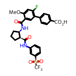 COc1cc(F)c(-c2ccc(C(=O)O)cc2)cc1C(=O)N[C@@H]1CCC[C@@H]1C(=O)Nc1cccc(S(=O)(=O)C(F)(F)F)c1